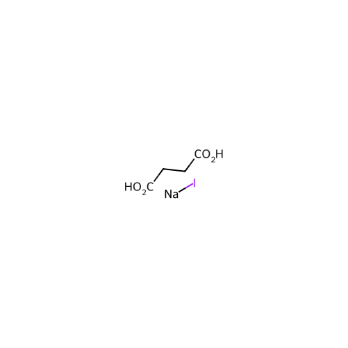 O=C(O)CCC(=O)O.[Na][I]